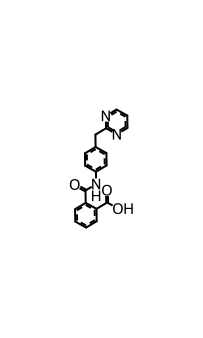 O=C(O)c1ccccc1C(=O)Nc1ccc(Cc2ncccn2)cc1